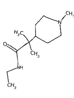 CCNC(=O)C(C)(C)C1CCN(C)CC1